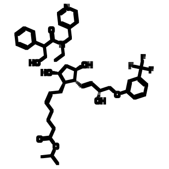 CC(C)OC(=O)CCC/C=C\C[C@@H]1[C@@H](/C=C/[C@@H](O)COc2cccc(C(F)(F)F)c2)[C@H](O)C[C@@H]1O.CCN(Cc1ccncc1)C(=O)C(CO)c1ccccc1